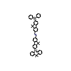 CC1(C)c2cc(/C=C/c3ccc4c(c3)C(C)(C)c3cc(N5c6ccccc6C(C)(C)c6ccccc65)ccc3-4)ccc2-c2ccc(B(c3ccccc3)c3ccccc3)cc21